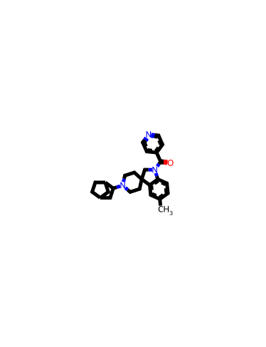 Cc1ccc2c(c1)C1(CCN(C3CC4CCC3C4)CC1)CN2C(=O)c1ccncc1